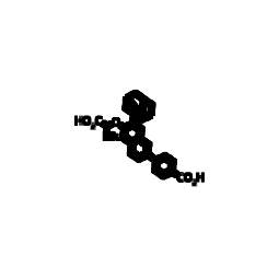 CCCCC(Oc1cc2ccc(-c3ccc(C(=O)O)cc3)cc2cc1C12CC3CC(CC(C3)C1)C2)C(=O)O